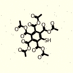 CC(=O)OC(=O)c1c(S)c(C(=O)OC(C)=O)c(C(=O)OC(C)=O)c(C(=O)OC(C)=O)c1C(=O)OC(C)=O